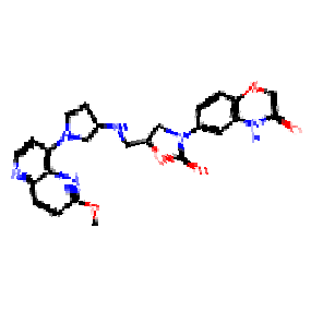 COc1ccc2nccc(N3CCC(NCC4CN(c5ccc6c(c5)NC(=O)CO6)C(=O)O4)C3)c2n1